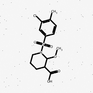 COC1C(C(=O)O)CCCN1S(=O)(=O)c1ccc(C)c(Cl)c1